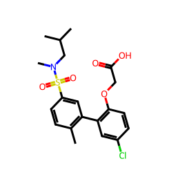 Cc1ccc(S(=O)(=O)N(C)CC(C)C)cc1-c1cc(Cl)ccc1OCC(=O)O